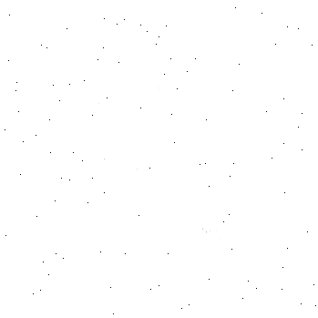 CC(C)OC(C)Oc1ccc([N+](=O)[O-])cc1